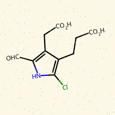 O=Cc1[nH]c(Cl)c(CCC(=O)O)c1CC(=O)O